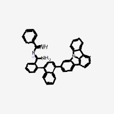 N=C(/N=C(\N)c1ccccc1-c1ccc(-c2ccc3c4cccc5c6ccccc6n(c3c2)c54)c2ccccc12)c1ccccc1